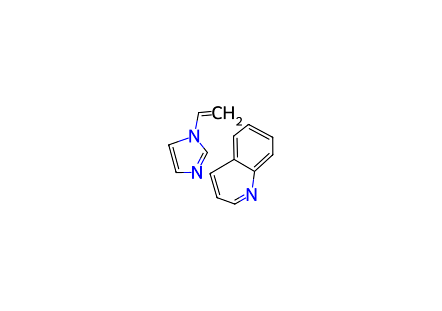 C=Cn1ccnc1.c1ccc2ncccc2c1